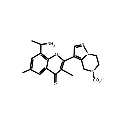 Cc1cc(C(C)N)c2oc(-c3cnn4c3CN(C(=O)O)CC4)c(C)c(=O)c2c1